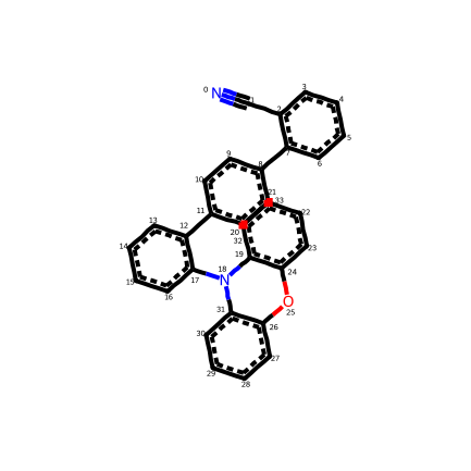 N#Cc1ccccc1-c1ccc(-c2ccccc2N2c3ccccc3Oc3ccccc32)cc1